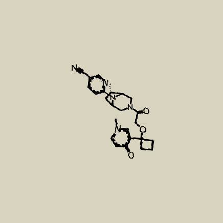 C[C@H]1CC2CN(C(=O)COC3(c4cn(C)ccc4=O)CCC3)CC1N2c1ccc(C#N)cn1